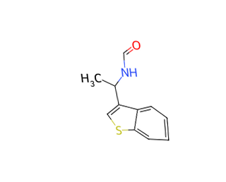 CC(NC=O)c1csc2ccccc12